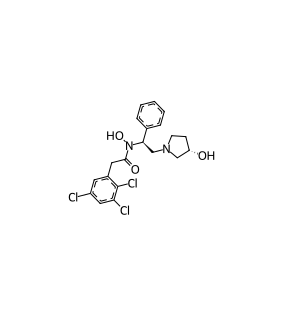 O=C(Cc1cc(Cl)cc(Cl)c1Cl)N(O)[C@H](CN1CC[C@H](O)C1)c1ccccc1